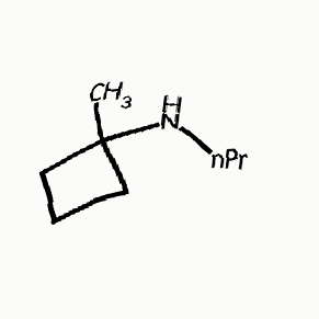 CCCNC1(C)CCC1